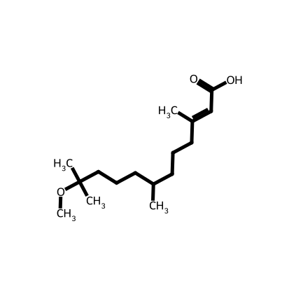 COC(C)(C)CCCC(C)CCC/C(C)=C/C(=O)O